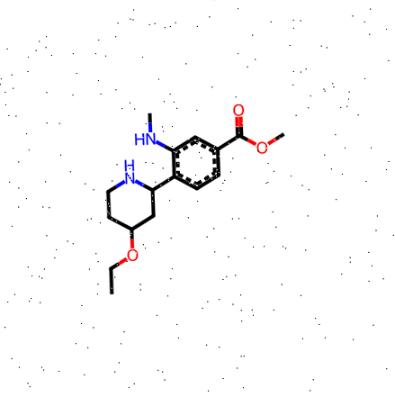 CCOC1CCNC(c2ccc(C(=O)OC)cc2NC)C1